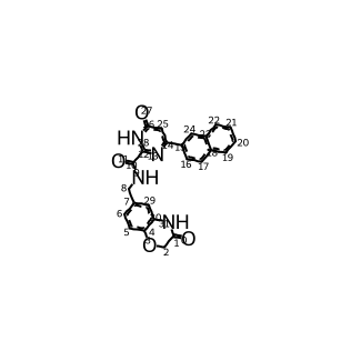 O=C1COc2ccc(CNC(=O)c3nc(-c4ccc5ccccc5c4)cc(=O)[nH]3)cc2N1